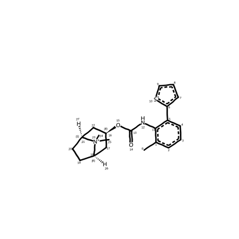 Cc1cccc(-c2cccs2)c1NC(=O)O[C@H]1C[C@H]2CC[C@@H](C1)[N+]2(C)C